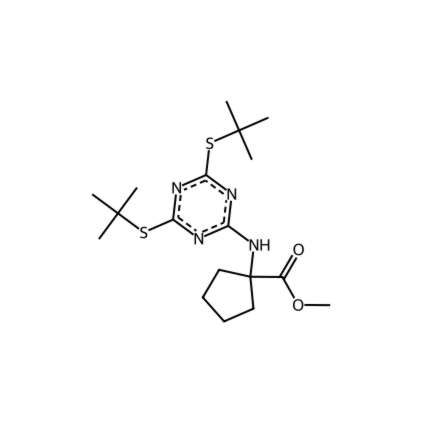 COC(=O)C1(Nc2nc(SC(C)(C)C)nc(SC(C)(C)C)n2)CCCC1